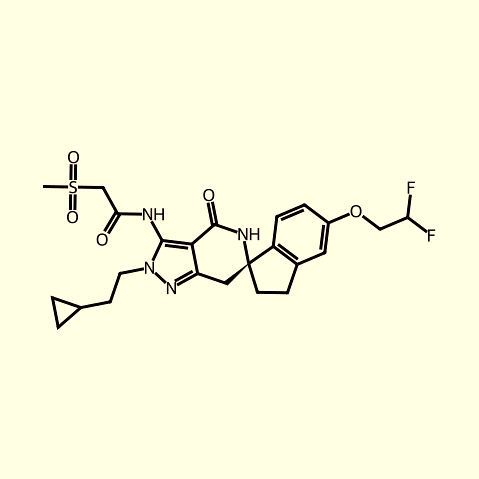 CS(=O)(=O)CC(=O)Nc1c2c(nn1CCC1CC1)C[C@@]1(CCc3cc(OCC(F)F)ccc31)NC2=O